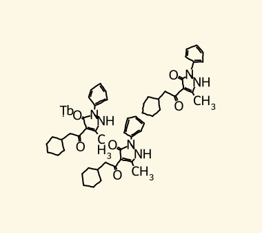 Cc1[nH]n(-c2ccccc2)c(=O)c1C(=O)CC1CCCCC1.Cc1[nH]n(-c2ccccc2)c(=O)c1C(=O)CC1CCCCC1.Cc1[nH]n(-c2ccccc2)c(=O)c1C(=O)CC1CCCCC1.[Tb]